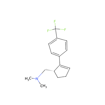 CN(C)C[C@H]1CCC=C1c1ccc(C(F)(F)F)cc1